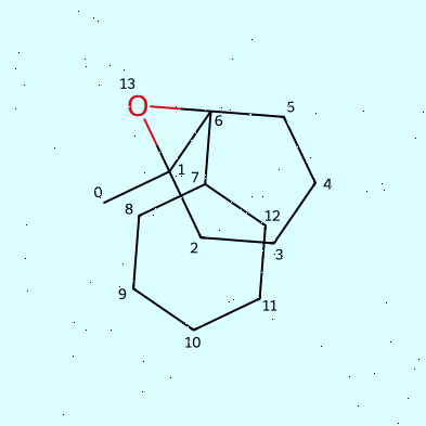 CC12CCCCC1(C1CCCCC1)O2